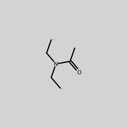 [CH2]CN(C[CH2])C(C)=O